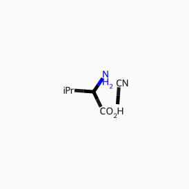 CC#N.CC(C)C(N)C(=O)O